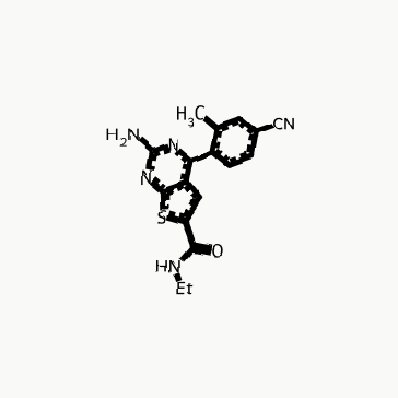 CCNC(=O)c1cc2c(-c3ccc(C#N)cc3C)nc(N)nc2s1